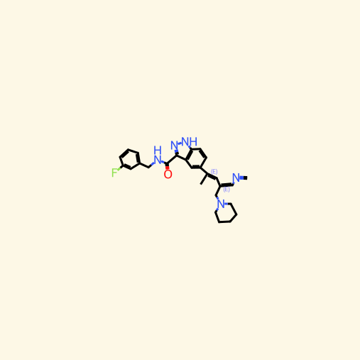 C=N/C=C(\C=C(/C)c1ccc2[nH]nc(C(=O)NCc3cccc(F)c3)c2c1)CN1CCCCC1